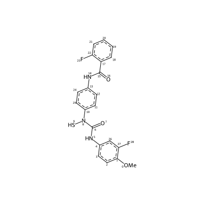 COc1ccc(NC(=O)N(S)c2ccc(NC(=O)c3ccccc3F)cc2)cc1F